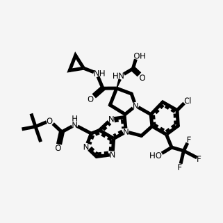 CC(C)(C)OC(=O)Nc1ncnc2c1ncn2Cc1c(C(O)C(F)(F)F)cc(Cl)cc1N1CC[C@](NC(=O)O)(C(=O)NC2CC2)C1